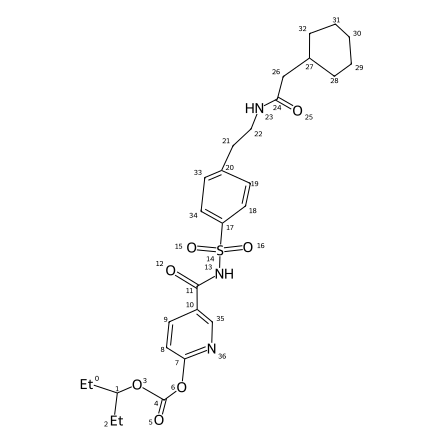 CCC(CC)OC(=O)Oc1ccc(C(=O)NS(=O)(=O)c2ccc(CCNC(=O)CC3CCCCC3)cc2)cn1